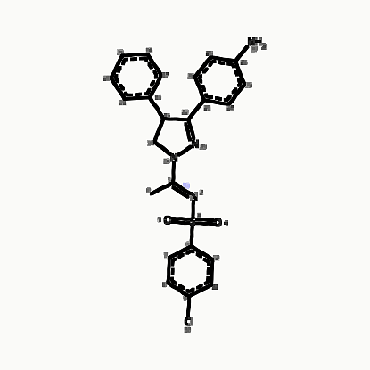 C/C(=N\S(=O)(=O)c1ccc(Cl)cc1)N1CC(c2ccccc2)C(c2ccc(N)cc2)=N1